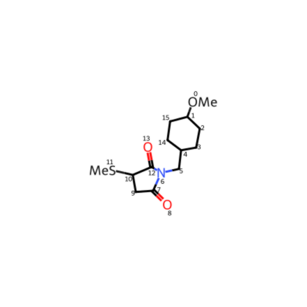 COC1CCC(CN2C(=O)CC(SC)C2=O)CC1